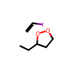 C=CI.CCC1CCOO1